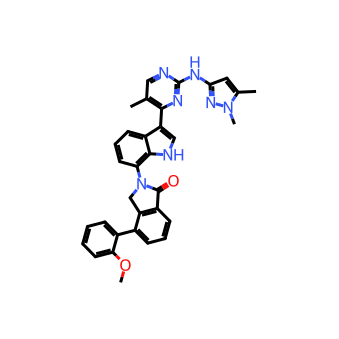 COc1ccccc1-c1cccc2c1CN(c1cccc3c(-c4nc(Nc5cc(C)n(C)n5)ncc4C)c[nH]c13)C2=O